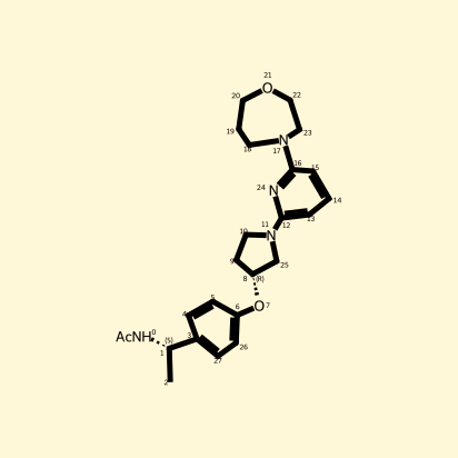 CC(=O)N[C@@H](C)c1ccc(O[C@@H]2CCN(c3cccc(N4CCCOCC4)n3)C2)cc1